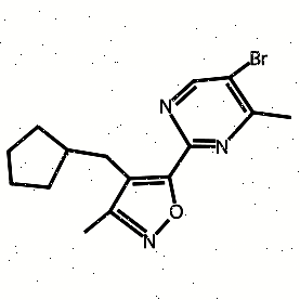 Cc1nc(-c2onc(C)c2C[C]2CCCC2)ncc1Br